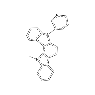 Cn1c2ccccc2c2ccc3c(c4ccccc4n3-c3cccnc3)c21